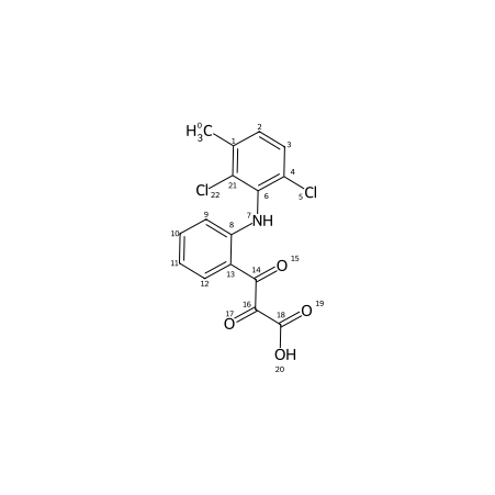 Cc1ccc(Cl)c(Nc2ccccc2C(=O)C(=O)C(=O)O)c1Cl